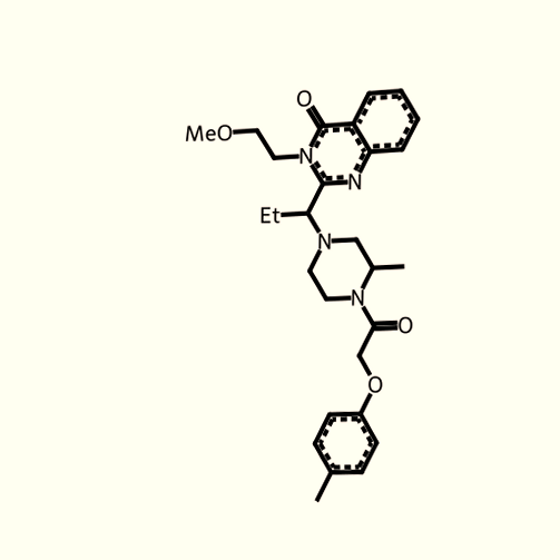 CCC(c1nc2ccccc2c(=O)n1CCOC)N1CCN(C(=O)COc2ccc(C)cc2)C(C)C1